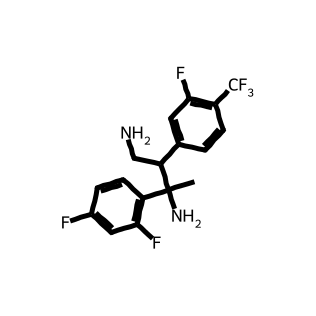 CC(N)(c1ccc(F)cc1F)C(CN)c1ccc(C(F)(F)F)c(F)c1